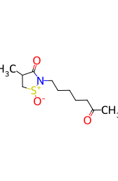 CC(=O)CCCCCN1C(=O)C(C)C[S+]1[O-]